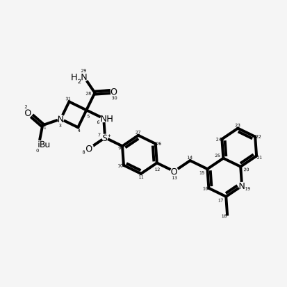 CCC(C)C(=O)N1CC(N[S+]([O-])c2ccc(OCc3cc(C)nc4ccccc34)cc2)(C(N)=O)C1